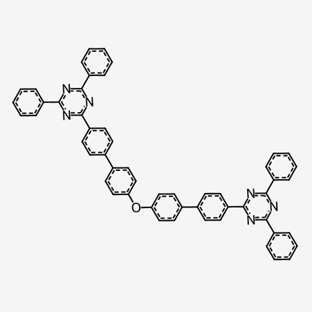 c1ccc(-c2nc(-c3ccccc3)nc(-c3ccc(-c4ccc(Oc5ccc(-c6ccc(-c7nc(-c8ccccc8)nc(-c8ccccc8)n7)cc6)cc5)cc4)cc3)n2)cc1